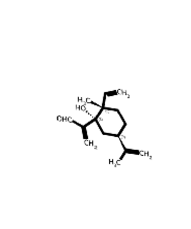 C=C[C@]1(C)CC[C@@H](C(=C)C)C[C@@]1(O)C(=C)C=O